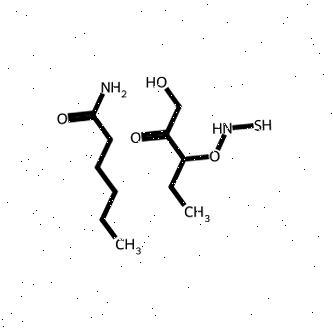 CCC(ONS)C(=O)CO.CCCCCC(N)=O